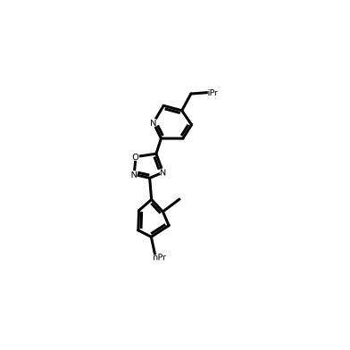 CCCc1ccc(-c2noc(-c3ccc(CC(C)C)cn3)n2)c(C)c1